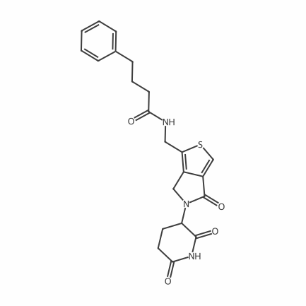 O=C(CCCc1ccccc1)NCc1scc2c1CN(C1CCC(=O)NC1=O)C2=O